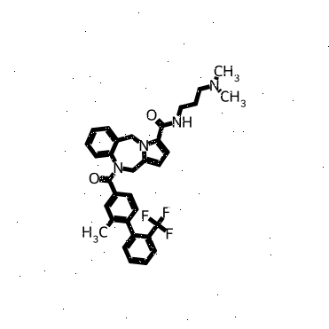 Cc1cc(C(=O)N2Cc3ccc(C(=O)NCCCN(C)C)n3Cc3ccccc32)ccc1-c1ccccc1C(F)(F)F